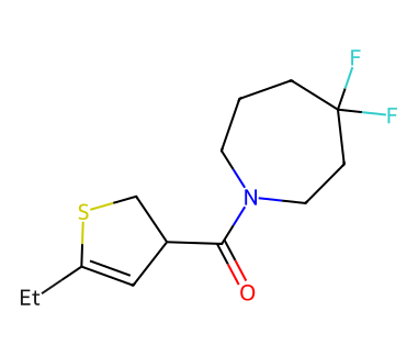 CCC1=CC(C(=O)N2CCCC(F)(F)CC2)CS1